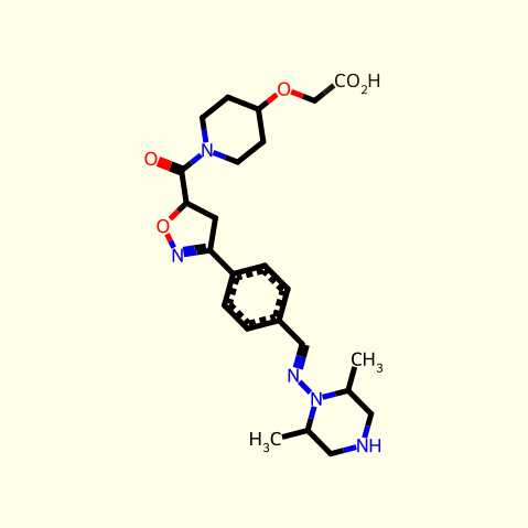 CC1CNCC(C)N1/N=C/c1ccc(C2=NOC(C(=O)N3CCC(OCC(=O)O)CC3)C2)cc1